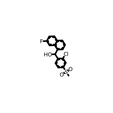 CS(=O)(=O)c1ccc(C(O)c2cccc3ccc(F)cc23)c(Cl)c1